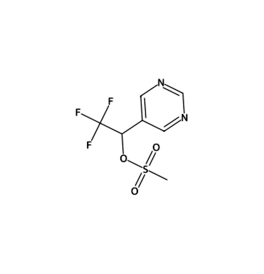 CS(=O)(=O)OC(c1cncnc1)C(F)(F)F